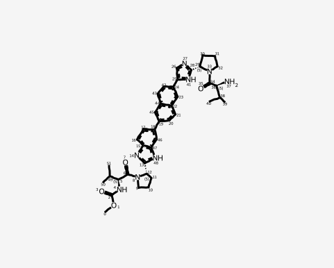 COC(=O)N[C@H](C(=O)N1CCC[C@H]1c1nc2ccc(-c3ccc4cc(-c5cnc([C@@H]6CCCN6C(=O)[C@@H](N)C(C)C)[nH]5)ccc4c3)cc2[nH]1)C(C)C